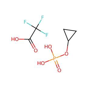 O=C(O)C(F)(F)F.O=P(O)(O)OC1CC1